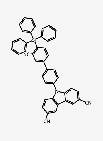 N#Cc1ccc2c(c1)c1cc(C#N)ccc1n2-c1ccc(-c2ccc([Si](c3ccccc3)(c3ccccc3)c3ccccc3)c(C#N)c2)cc1